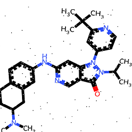 CC(C)n1c(=O)c2cnc(Nc3ccc4c(c3)CC(N(C)C)CC4)cc2n1-c1ccnc(C(C)(C)C)c1